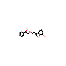 O=C(COCCc1coc2c(O)cccc12)c1ccccc1